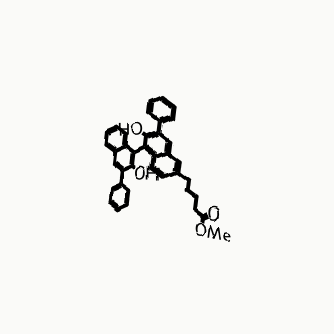 COC(=O)CCCCc1ccc2c(-c3c(O)c(-c4ccccc4)cc4ccccc34)c(O)c(-c3ccccc3)cc2c1